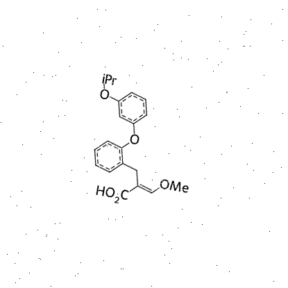 CO/C=C(\Cc1ccccc1Oc1cccc(OC(C)C)c1)C(=O)O